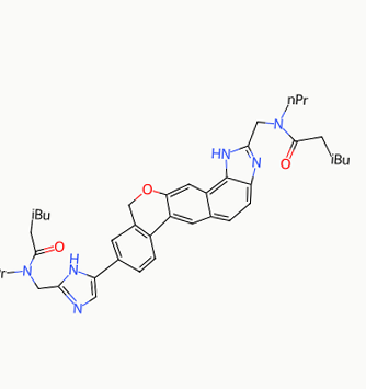 CCCN(Cc1ncc(-c2ccc3c(c2)COc2cc4c(ccc5nc(CN(CCC)C(=O)CC(C)CC)[nH]c54)cc2-3)[nH]1)C(=O)CC(C)CC